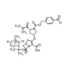 CN(C)C(=O)[C@@H]1C[C@H](SC2=C(C(=O)O)N3C(=O)[C@H](C(C)(O[SiH](C)C)C(C)(C)C)[C@H]3S2)CN1C(=O)OCc1ccc([N+](=O)[O-])cc1